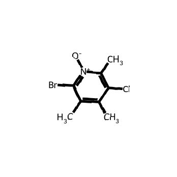 Cc1c(C)c(Br)[n+]([O-])c(C)c1Cl